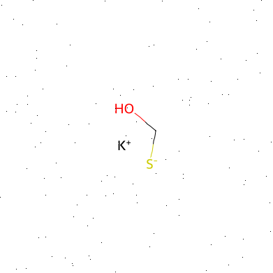 OC[S-].[K+]